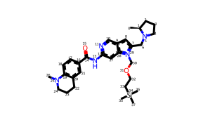 C[C@H]1CCCN1Cc1cc2cnc(NC(=O)c3ccc4c(c3)CCCN4C)cc2n1COCC[Si](C)(C)C